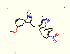 COc1ccc2[nH]cc(Cc3c[nH]c4cc([N+](=O)[O-])ccc34)c2c1